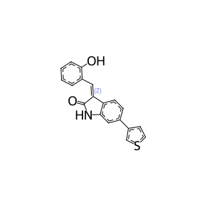 O=C1Nc2cc(-c3ccsc3)ccc2/C1=C/c1ccccc1O